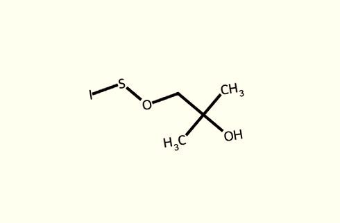 CC(C)(O)COSI